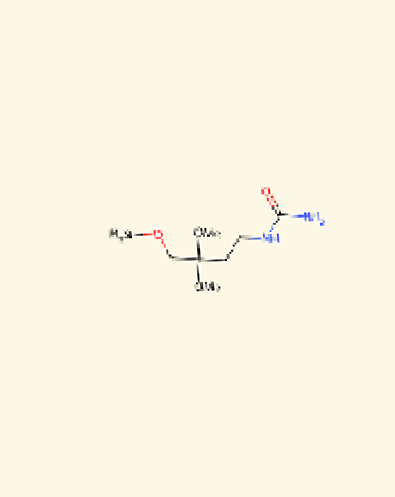 COC(CCNC(N)=O)(CO[SiH3])OC